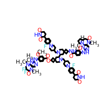 COc1cc(C(=O)OC2CC3(CCN(CC4CCN(c5ccc(C6CCC(=O)NC6=O)cc5F)CC4)C(C4CC5(CCN4CC4CCN(c6ccc(C7CCC(=O)NC7=O)cc6F)CC4)CC(NC(=O)c4ccc(Nc6ncc7c(n6)N6CCC[C@@H]6CC(=O)N7C)c(OC)c4)C5)C3)C2)ccc1Nc1ncc2c(n1)N(C(C)C)CC(F)(F)C(=O)N2C